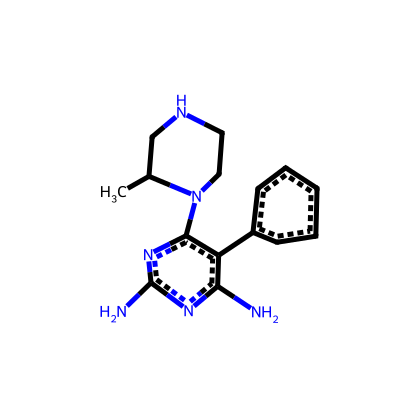 CC1CNCCN1c1nc(N)nc(N)c1-c1ccccc1